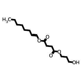 CCCCCCC=COC(=O)CCC(=O)OCCCO